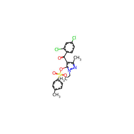 CCn1nc(C)c(C(=O)c2ccc(Cl)cc2Cl)c1OS(=O)(=O)c1ccc(C)cc1